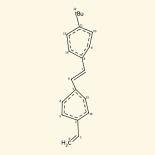 C=Cc1ccc(C=Cc2ccc(C(C)(C)C)cc2)cc1